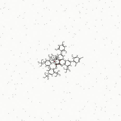 Cc1cc(C)c(-c2cc(-c3cc(-c4c(C)cc(C)cc4C)cc(C(C)(C)C)c3Op3oc4c([Si](C)(C)C)cc(C(C)(C)C)cc4c4cc(C(C)(C)C)cc([Si](C)(C)C)c4o3)c(OP3OCC(=O)O3)c(C(C)(C)C)c2)c(C)c1